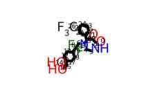 O=C1NCCN(CC(F)(F)C2CCC(O)(CO)CC2)c2c1oc1ccc(C(F)(F)F)cc21